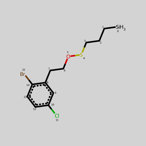 [SiH3]CCCSOCCc1cc(Cl)ccc1Br